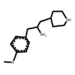 COc1ccc(CC(N)CC2CCNCC2)cc1